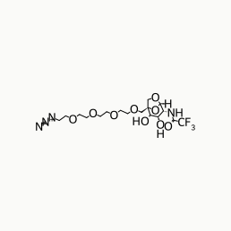 [N-]=[N+]=NCCOCCOCCOCCOC[C@@]12CO[C@@H](O1)[C@H](NC(=O)C(F)(F)F)[C@@H](O)[C@H]2O